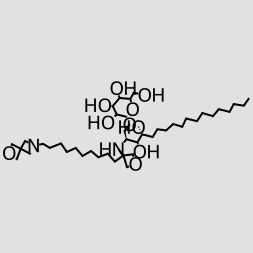 CCCCCCCCCCCCCC[C@@H](O)[C@@H](O)[C@H](COC1OC(CO)C(O)C(O)C1O)NC1(CCCCCCCCCCN2CC3(COC3)C2)COC1